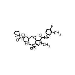 Cc1cc(NC(=O)c2c3c(cn2C)S(=O)(=O)NC2CN(C(=O)C4(C)CCCO4)CC2CO3)ccc1F